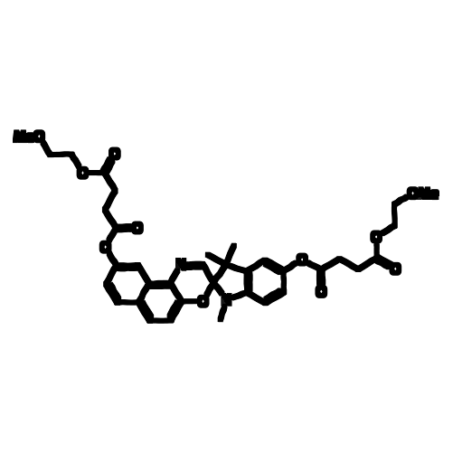 COCCOC(=O)CCC(=O)Oc1ccc2c(c1)C(C)(C)C1(C=Nc3c(ccc4ccc(OC(=O)CCC(=O)OCCOC)cc34)O1)N2C